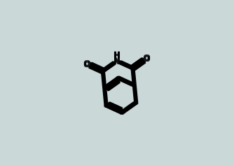 O=C1NC(=O)C2C=C1C=CC2